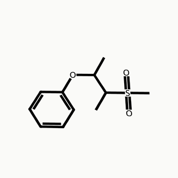 CC(Oc1ccccc1)C(C)S(C)(=O)=O